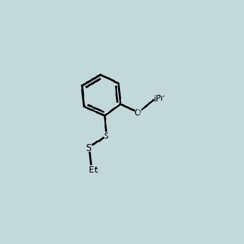 CCSSc1ccccc1OC(C)C